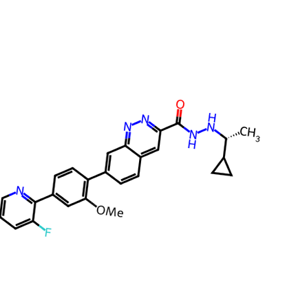 COc1cc(-c2ncccc2F)ccc1-c1ccc2cc(C(=O)NN[C@H](C)C3CC3)nnc2c1